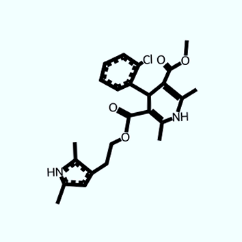 COC(=O)C1=C(C)NC(C)=C(C(=O)OCCc2cc(C)[nH]c2C)C1c1ccccc1Cl